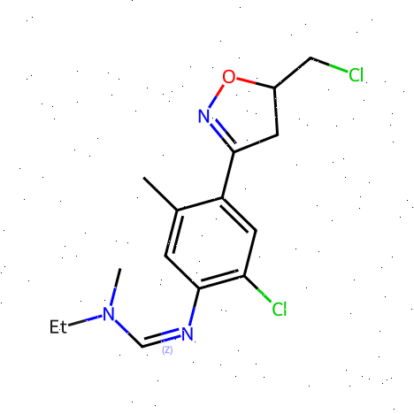 CCN(C)/C=N\c1cc(C)c(C2=NOC(CCl)C2)cc1Cl